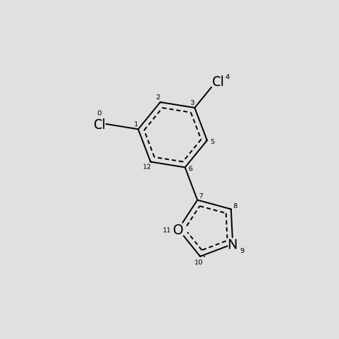 Clc1cc(Cl)cc(-c2cn[c]o2)c1